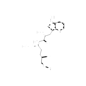 Cn1cc(C[C@H](O)C(=O)N[C@@H](CCC(=O)C=[N+]=[N-])C(=O)O)c2ncccc21